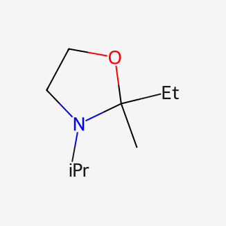 CCC1(C)OCCN1C(C)C